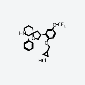 Cl.FC(F)(F)Oc1ccc(OCC2CC2)c([C@H]2CO[C@]3(CCCN[C@H]3c3ccccc3)C2)c1